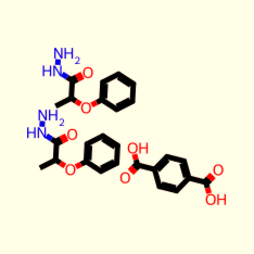 CC(Oc1ccccc1)C(=O)NN.CC(Oc1ccccc1)C(=O)NN.O=C(O)c1ccc(C(=O)O)cc1